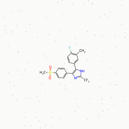 Cc1cc(-c2[nH]c(C(F)(F)F)nc2-c2ccc(S(C)(=O)=O)cc2)ccc1F